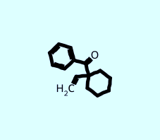 C=CC1(C(=O)c2ccccc2)CCCCC1